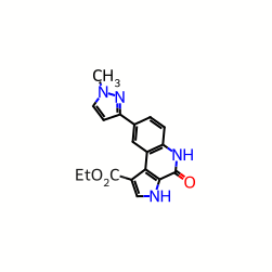 CCOC(=O)c1c[nH]c2c(=O)[nH]c3ccc(-c4ccn(C)n4)cc3c12